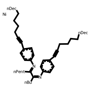 CCCCCCCCCCCCCCC#Cc1ccc(N=C(CCCC)C(CCCCC)=Nc2ccc(C#CCCCCCCCCCCCCCC)cc2)cc1.[Ni]